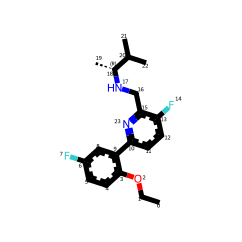 CCOc1ccc(F)cc1-c1ccc(F)c(CN[C@H](C)C(C)C)n1